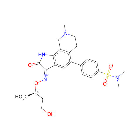 CN1CCc2c(-c3ccc(S(=O)(=O)N(C)C)cc3)cc3c(c2C1)NC(=O)/C3=N\O[C@@H](CCO)C(=O)O